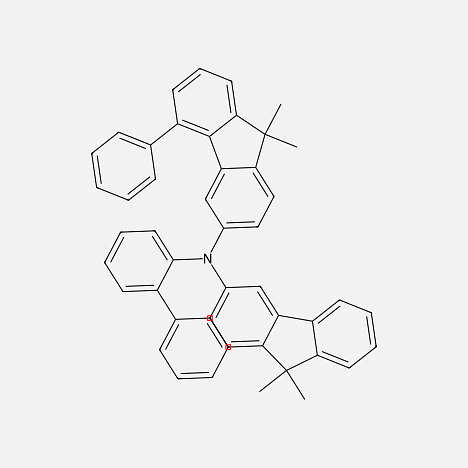 CC1(C)c2ccccc2-c2cc(N(c3ccc4c(c3)-c3c(-c5ccccc5)cccc3C4(C)C)c3ccccc3-c3ccccc3)ccc21